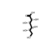 O=C(O)[C@H](O)[C@@H](O)[C@H](O)[C@@H](O)CO